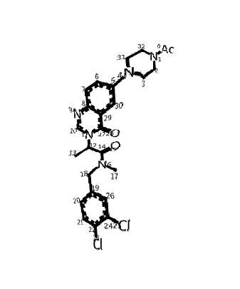 CC(=O)N1CCN(c2ccc3ncn(C(C)C(=O)N(C)Cc4ccc(Cl)c(Cl)c4)c(=O)c3c2)CC1